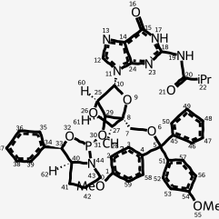 COc1ccc(C(OC[C@]23O[C@@H](n4cnc5c(=O)[nH]c(NC(=O)C(C)C)nc54)[C@H](O[C@H]2C)[C@@H]3O[P@@]2O[C@H](c3ccccc3)[C@@H]3CCCN32)(c2ccccc2)c2ccc(OC)cc2)cc1